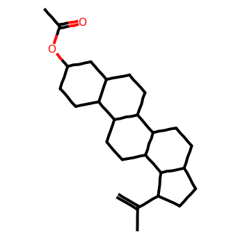 C=C(C)C1CCC2CCC3C4CCC5CC(OC(C)=O)CCC5C4CCC3C21